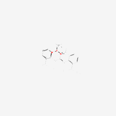 CC(C)c1cccc(C(C)C)c1N=C(NC(N(C)C)=[N+](C)C)Nc1c(C(C)C)cccc1C(C)C